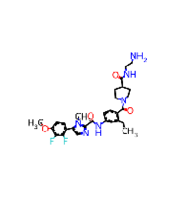 CCc1cc(NC(=O)c2ncc(-c3ccc(OC)c(F)c3F)n2C)ccc1C(=O)N1CCC(C(=O)NCCN)CC1